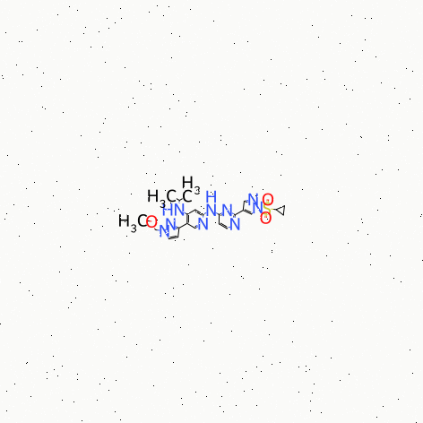 COCn1ccc(-c2cnc(Nc3ccnc(-c4cnn(S(=O)(=O)C5CC5)c4)n3)cc2NC(C)C)n1